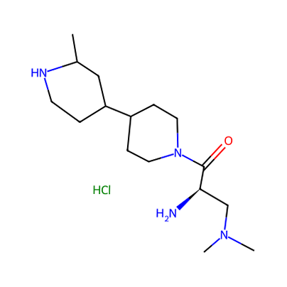 CC1CC(C2CCN(C(=O)[C@H](N)CN(C)C)CC2)CCN1.Cl